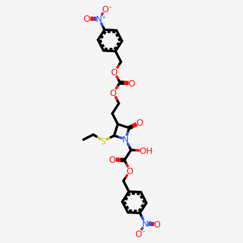 CCSC1C(CCOC(=O)OCc2ccc([N+](=O)[O-])cc2)C(=O)N1C(O)C(=O)OCc1ccc([N+](=O)[O-])cc1